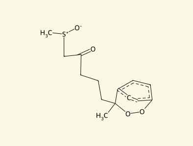 C[S+]([O-])CC(=O)CCCC1(C)OOc2ccc1cc2